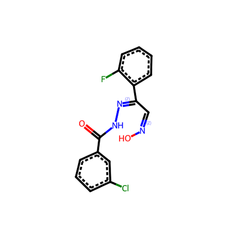 O=C(N/N=C(\C=N/O)c1ccccc1F)c1cccc(Cl)c1